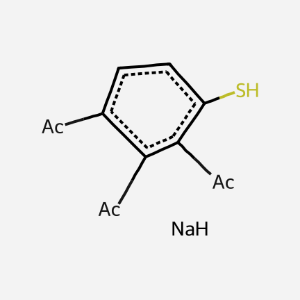 CC(=O)c1ccc(S)c(C(C)=O)c1C(C)=O.[NaH]